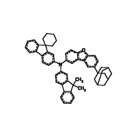 CC1(C)c2ccccc2-c2ccc(N(c3ccc4c(c3)C3(CCCCC3)c3ccccc3-4)c3ccc4oc5ccc(C67CC8CC(CC(C8)C6)C7)cc5c4c3)cc21